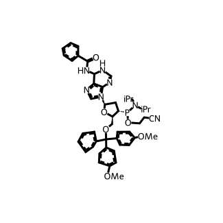 COc1ccc(C(OC[C@H]2O[C@@H](n3cnc4c3N=CNC4NC(=O)c3ccccc3)C[C@@H]2P(OCCC#N)N(C(C)C)C(C)C)(c2ccccc2)c2ccc(OC)cc2)cc1